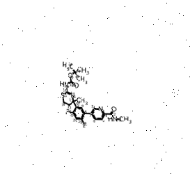 CNC(=O)c1ccc(-c2cc(C3(C)CCSC(NC(=O)OC(C)(C)C)=N3)c(F)cc2F)cn1